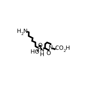 NCCCCCCP(=O)(O)NC1CCCN(CC(=O)O)C1=O